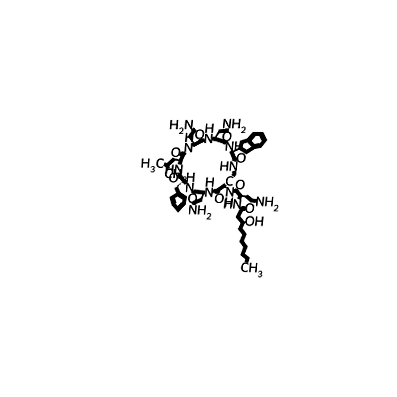 CCCCCCC[C@@H](O)CC(=O)N[C@H](CCN)C(=O)N[C@H]1CCNC(=O)[C@H](C2Cc3ccccc3C2)NC(=O)[C@H](CCN)NC(=O)[C@H](CCN)NC(=O)[C@H](CC(C)C)NC(=O)[C@@H](Cc2ccccc2)NC(=O)[C@H](CCN)NC1=O